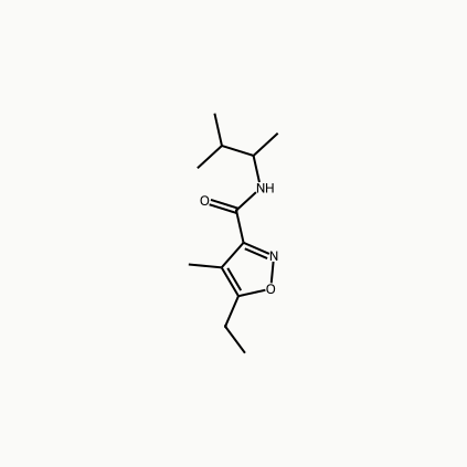 CCc1onc(C(=O)NC(C)C(C)C)c1C